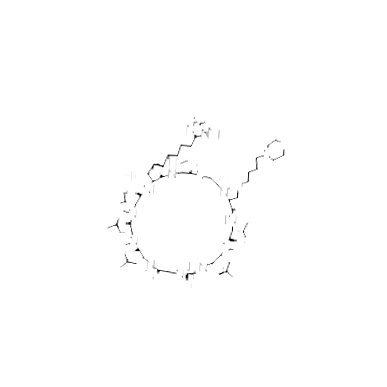 CC[C@@H]1NC(=O)[C@H]([C@H](O)[C@H](C)CCCCCc2nnn[nH]2)NC(=O)[C@H](C(C)C)N(C)C(=O)[C@H](CC(C)C)N(C)C(=O)[C@H](CC(C)C)N(C)C(=O)[C@@H](C)NC(=O)[C@H](C)NC(=O)[C@H](CC(C)C)N(C)C(=O)[C@H](C(C)C)NC(=O)[C@H]([C@@H](C)OCCCCN2CCOCC2)N(C)C(=O)[C@@H](C)N(C)C1=O